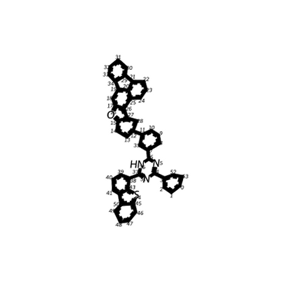 c1ccc(C2=NC(c3cccc(-c4ccc5oc6cc7c8c(cccc8c6c5c4)-c4ccccc4-7)c3)NC(c3cccc4c3sc3ccccc34)=N2)cc1